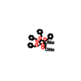 COC(=O)C[C@]1(OC)O[C@H](COCc2ccccc2)[C@@H](OCc2ccccc2)[C@H](OCc2ccccc2)[C@H]1OCc1ccccc1